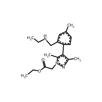 CCNCc1cc(C)ccc1-c1c(C)nn(CC(=O)OCC)c1C